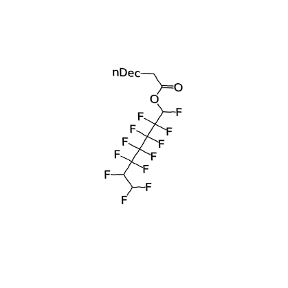 CCCCCCCCCCCC(=O)OC(F)C(F)(F)C(F)(F)C(F)(F)C(F)(F)C(F)C(F)F